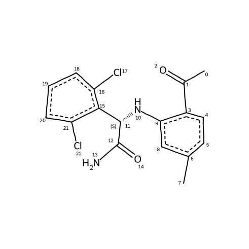 CC(=O)c1ccc(C)cc1N[C@H](C(N)=O)c1c(Cl)cccc1Cl